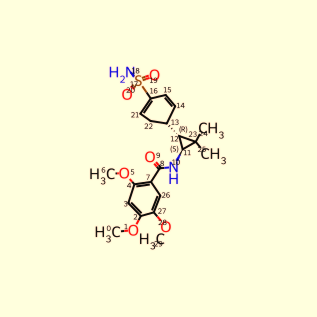 COc1cc(OC)c(C(=O)N[C@H]2[C@H](C3C=CC(S(N)(=O)=O)=CC3)C2(C)C)cc1OC